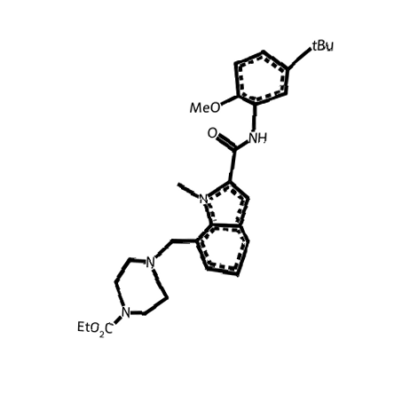 CCOC(=O)N1CCN(Cc2cccc3cc(C(=O)Nc4cc(C(C)(C)C)ccc4OC)n(C)c23)CC1